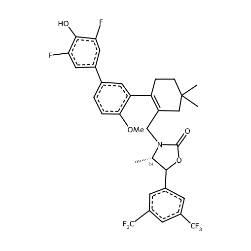 COc1ccc(-c2cc(F)c(O)c(F)c2)cc1C1=C(CN2C(=O)OC(c3cc(C(F)(F)F)cc(C(F)(F)F)c3)[C@@H]2C)CC(C)(C)CC1